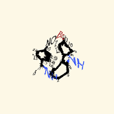 C[C@@H](N[C@H]1CCc2[nH]c3ccc(Br)cc3c2C1)c1ccc([N+](=O)[O-])cc1